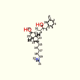 Cc1cccc(C[C@H](O)CC[C@@H]2[C@H]3CC(CCCCCN(C)C)=C[C@H]3C[C@H]2O)c1